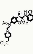 COc1cc(N(CCN2CCC(CC(=O)O)CC2)C(C)=O)ccc1N(C)C(=O)Nc1ccccc1C